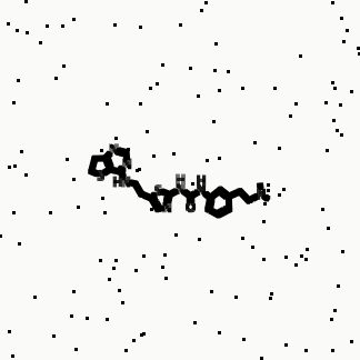 CN(C)CCc1cccc(NC(=O)Nc2ncc(CCNc3ncnc4c3SCC4)s2)c1